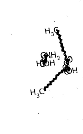 CCCCCCCCCCCCCCCC(=O)OC[C@H](CO)OC(=O)CCCCCCCCCCCCCCC.NC(=O)CO[PH](=O)O